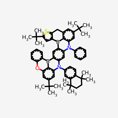 CC(C)(C)c1cc2c3c(c1)N(c1ccccc1)c1cc4c(cc1B3c1cc(C(C)(C)C)sc1C2)B1c2ccccc2Oc2cc(C(C)(C)C)cc(c21)N4c1ccc2c(c1)C(C)(C)CCC2(C)C